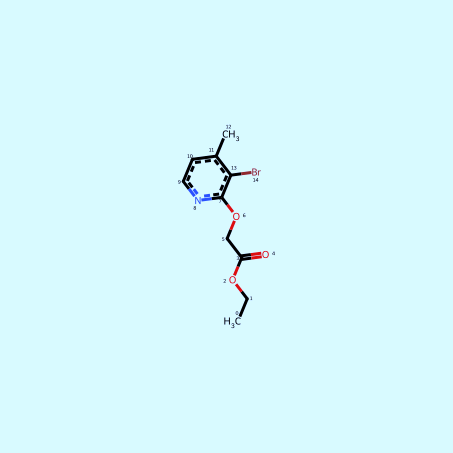 CCOC(=O)COc1nccc(C)c1Br